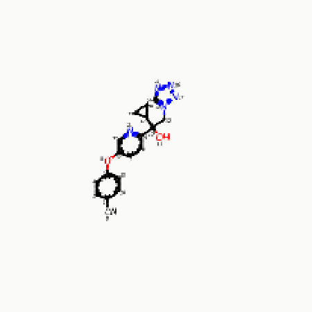 N#Cc1ccc(Oc2ccc(C(O)(Cn3cnnn3)C3CC3)nc2)cc1